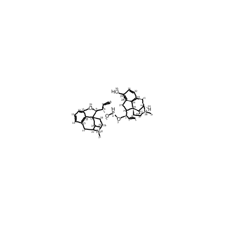 C=CC(OPO[C@@H](C=C)[C@@H]1Oc2cccc3c2C12CCN(C)C(C3)C2C)C1Cc2c(O)ccc3c2[C@@]12CCN(C)[C@H](C3)C2C